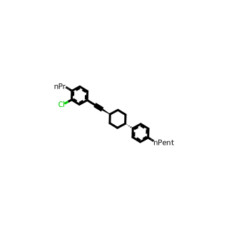 CCCCCc1ccc([C@H]2CC[C@H](C#Cc3ccc(CCC)c(Cl)c3)CC2)cc1